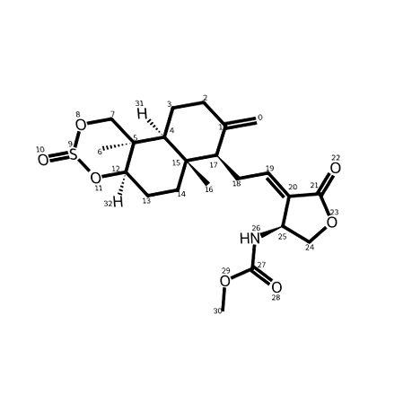 C=C1CC[C@@H]2[C@]3(C)COS(=O)O[C@@H]3CC[C@@]2(C)[C@@H]1C/C=C1/C(=O)OC[C@H]1NC(=O)OC